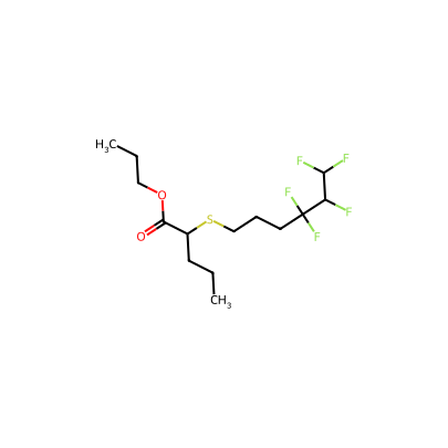 CCCOC(=O)C(CCC)SCCCC(F)(F)C(F)C(F)F